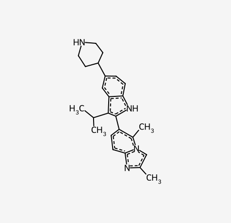 Cc1cn2c(C)c(-c3[nH]c4ccc(C5CCNCC5)cc4c3C(C)C)ccc2n1